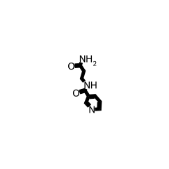 NC(=O)CCNC(=O)c1cccnc1